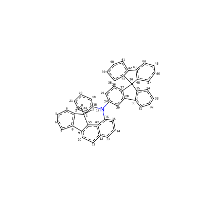 CC1(C)c2ccccc2-c2ccc3cccc(N(c4ccccc4)c4ccc5c(c4)-c4ccccc4C54c5ccccc5-c5ccccc54)c3c21